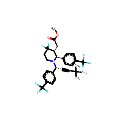 COC(=O)C[C@@H]1[C@@H](c2ccc(C(F)(F)F)cc2)N([C@H](C#CC(C)(C)C)c2ccc(C(F)(F)F)cc2)CCC1(F)F